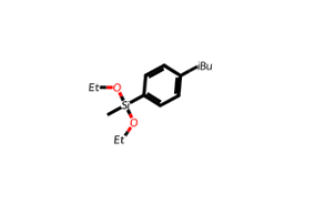 CCO[Si](C)(OCC)c1ccc(C(C)CC)cc1